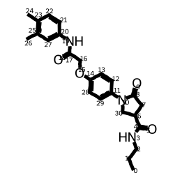 CCCNC(=O)C1CC(=O)N(c2ccc(OCC(=O)Nc3ccc(C)c(C)c3)cc2)C1